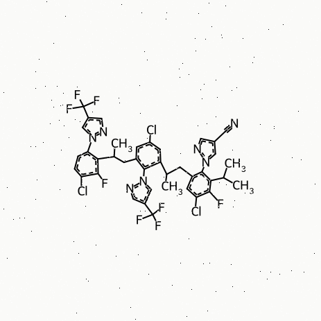 CC(C)c1c(F)c(Cl)cc(CC(C)c2cc(Cl)cc(CC(C)c3c(-n4cc(C(F)(F)F)cn4)ccc(Cl)c3F)c2-n2cc(C(F)(F)F)cn2)c1-n1cc(C#N)cn1